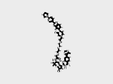 Cc1ncsc1-c1ccc([C@H](C)NC(=O)[C@@H]2C[C@@H](O)CN2C(=O)[C@@H](NC(=O)COCCOCCOCCN2CCN(c3ccc4nc(-c5ccc(N6CCCC6)nc5)sc4c3)C(=O)C2)C(C)(C)C)cc1